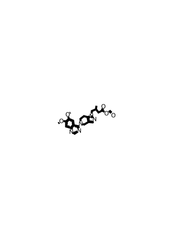 COc1cc2ncnc(N3CCc4c(cnn4CC(C)CC(=O)OC=O)C3)c2cc1OC